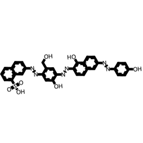 O=S(=O)(O)c1cccc2ccc(N=Nc3cc(O)c(N=Nc4ccc5cc(N=Nc6ccc(O)cc6)ccc5c4O)cc3CO)cc12